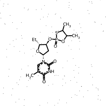 CC[C@H]1O[C@@H](n2cc(C)c(=O)[nH]c2=O)C[C@@H]1OP1(=O)OC(C)C(C)S1